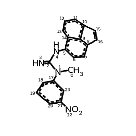 CN(C(=N)Nc1ccc2c3c(cccc13)C=C2)c1cccc([N+](=O)[O-])c1